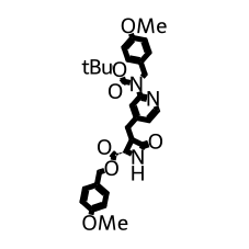 COc1ccc(COC(=O)[C@H]2NC(=O)C2Cc2ccnc(N(Cc3ccc(OC)cc3)C(=O)OC(C)(C)C)c2)cc1